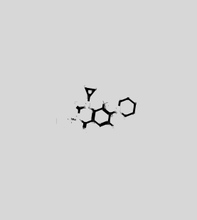 Nn1c(=O)c2cc(F)c(N3CCCCC3)c(Cl)c2n(C2CC2)c1=O